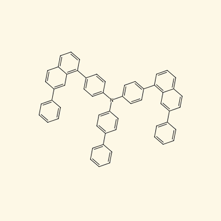 c1ccc(-c2ccc(N(c3ccc(-c4cccc5ccc(-c6ccccc6)cc45)cc3)c3ccc(-c4cccc5ccc(-c6ccccc6)cc45)cc3)cc2)cc1